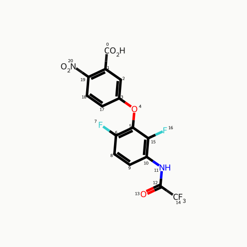 O=C(O)c1cc(Oc2c(F)ccc(NC(=O)C(F)(F)F)c2F)ccc1[N+](=O)[O-]